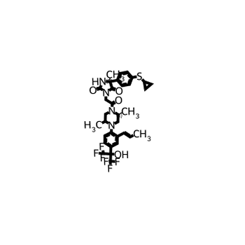 CC=Cc1cc(C(O)(C(F)(F)F)C(F)(F)F)ccc1N1C[C@@H](C)N(C(=O)CN2C(=O)N[C@@](C)(c3ccc(SC4CC4)cc3)C2=O)CC1C